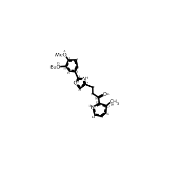 COc1ccc(-c2nc(CCC(=O)c3ncccc3C)co2)cc1OCC(C)C